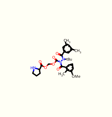 COc1cccc(C(=O)N(C(=O)OCOC(=O)C2CCCN2)N(C(=O)c2cc(C)cc(C)c2)C(C)(C)C)c1C